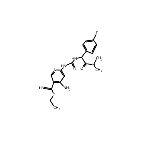 CCOC(=N)c1cnc(NC(=O)NC(C(=O)N(C)C)c2ccc(F)cc2)cc1N